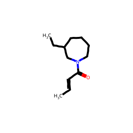 CC=CC(=O)N1CCCCC(CC)C1